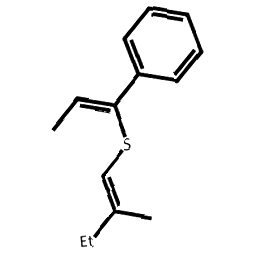 CC=C(S/C=C(\C)CC)c1ccccc1